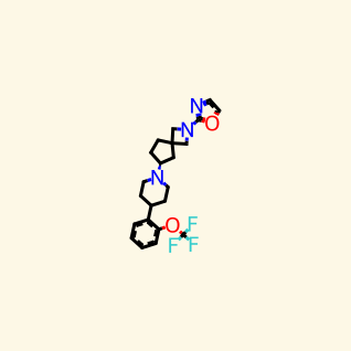 FC(F)(F)Oc1ccccc1C1CCN([C@H]2CCC3(C2)CN(c2ncco2)C3)CC1